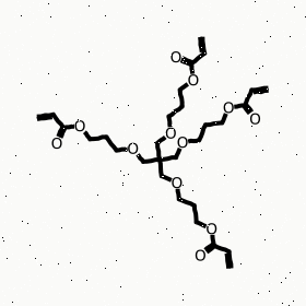 C=CC(=O)OCCCOCC(COCCCOC(=O)C=C)(COCCCOC(=O)C=C)COCCCOC(=O)C=C